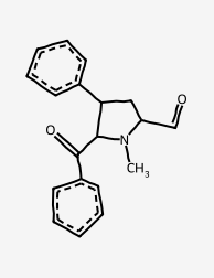 CN1C(C=O)CC(c2ccccc2)C1C(=O)c1ccccc1